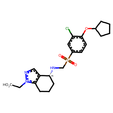 O=C(O)Cn1ncc2c1CCC[C@H]2NCS(=O)(=O)c1ccc(OC2CCCC2)c(Cl)c1